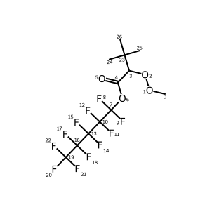 COOC(C(=O)OC(F)(F)C(F)(F)C(F)(F)C(F)(F)C(F)(F)F)C(C)(C)C